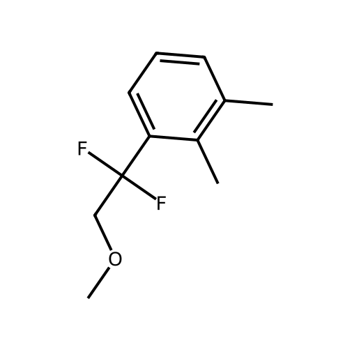 COCC(F)(F)c1cccc(C)c1C